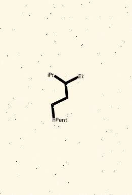 [CH2]CCCCCCC(CC)C(C)C